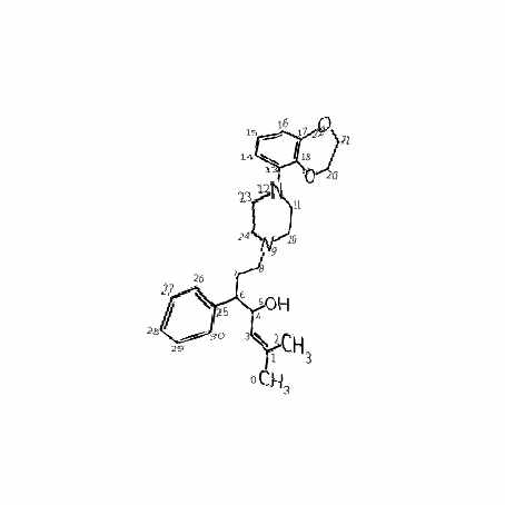 CC(C)=CC(O)C(CCN1CCN(c2cccc3c2OCCO3)CC1)c1ccccc1